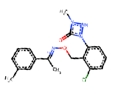 C/C(=N\OCc1c(Cl)cccc1-n1[nH]n(C)c1=O)c1cccc(C)c1